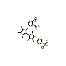 CC1=C(C)C(C)C(C2=C(C)C(C)=C(C)C2C)=C1C.[CH3][Zr+2]([CH3])[C]1=CC=CC1.[CH3][Zr]([Cl])([Cl])[C]1=CC=CC1.[Cl-].[Cl-]